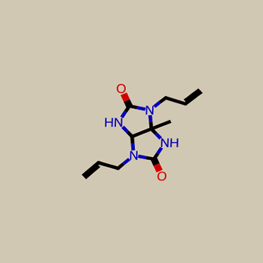 C=CCN1C(=O)NC2(C)C1NC(=O)N2CC=C